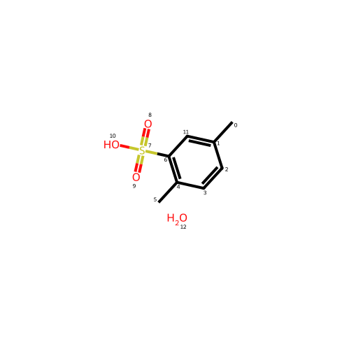 Cc1ccc(C)c(S(=O)(=O)O)c1.O